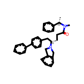 C[C@@H](c1ccccc1)N(C)C(=O)CC[C@@H](Cc1ccc(-c2ccccc2)cc1)N1Cc2ccccc2C1